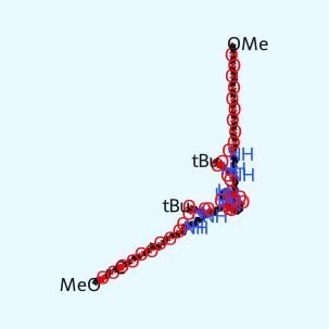 COCCOCCOCCOCCOCCOCCOCCOCCOCCOCC(=O)NCCCC[C@H](NC(=O)CCCNC(=O)[C@H]([C@@H](C(=O)NCCCC(=O)N[C@@H](CCCCNC(=O)COCCOCCOCCOCCOCCOCCOCCOCCOCCOC)C(=O)NCC(=O)OC(C)(C)C)N1C(=O)C=CC1=O)N1C(=O)C=CC1=O)C(=O)NCC(=O)OC(C)(C)C